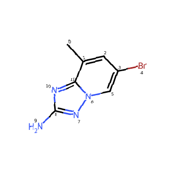 Cc1cc(Br)cn2nc(N)nc12